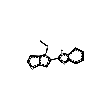 CSn1c(-c2nc3ccccc3[nH]2)cc2sccc21